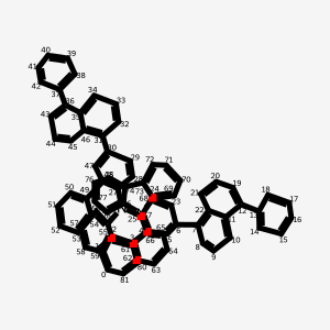 c1ccc(-c2cc(-c3cccc4c(-c5ccccc5)cccc34)ccc2N(c2ccc(-c3cccc4c(-c5ccccc5)cccc34)cc2-c2ccccc2)c2ccccc2-c2ccccc2-n2c3ccccc3c3ccccc32)cc1